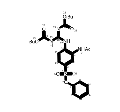 CC(=O)Nc1cc(S(=O)(=O)Oc2ccccc2)ccc1N/C(=N\C(=O)OCC(C)C)NC(=O)OCC(C)C